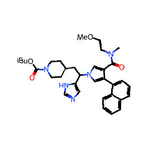 COCCN(C)C(=O)c1cn(C(CC2CCN(C(=O)OCC(C)C)CC2)c2cnc[nH]2)cc1-c1cccc2ccccc12